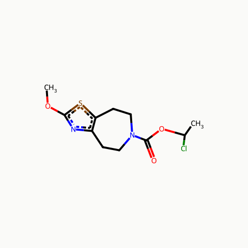 COc1nc2c(s1)CCN(C(=O)OC(C)Cl)CC2